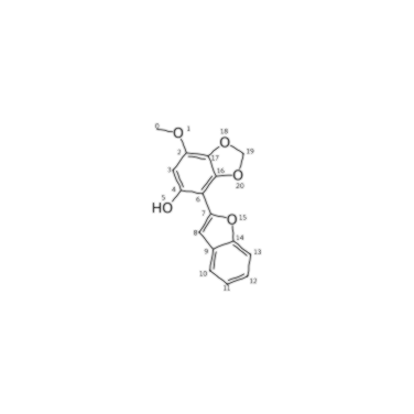 COc1cc(O)c(-c2cc3ccccc3o2)c2c1OCO2